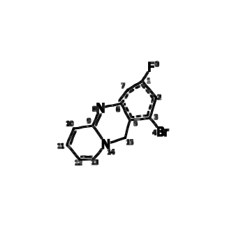 Fc1cc(Br)c2c(c1)N=C1C=CC=CN1C2